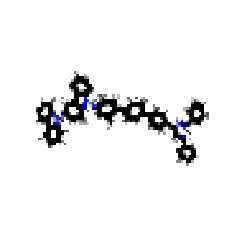 Cc1cc(-n2c3ccccc3c3cc(-n4c5ccccc5c5ccccc54)ccc32)ccc1-c1ccc(-c2ccc(-c3cc(-c4ccccc4)nc(-c4ccccc4)n3)cc2)cc1